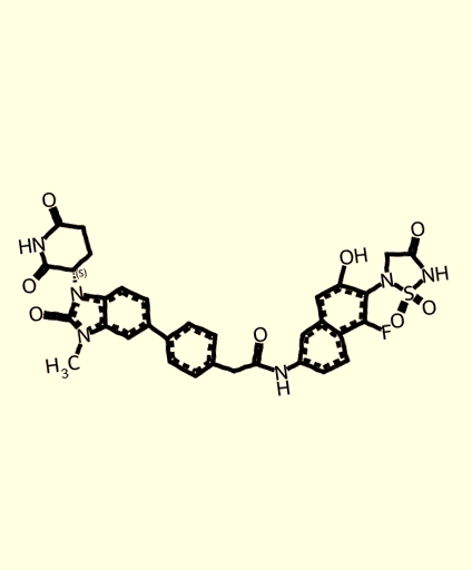 Cn1c(=O)n([C@H]2CCC(=O)NC2=O)c2ccc(-c3ccc(CC(=O)Nc4ccc5c(F)c(N6CC(=O)NS6(=O)=O)c(O)cc5c4)cc3)cc21